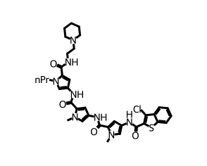 CCCn1cc(NC(=O)c2cc(NC(=O)c3cc(NC(=O)c4sc5ccccc5c4Cl)cn3C)cn2C)cc1C(=O)NCCN1CCCCC1